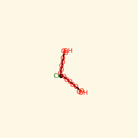 O=S(=O)(O)CCCCOCCOCCOCCOCCOc1ccc(Cl)c(OCCOCCOCCOCCOCCCCS(=O)(=O)O)c1